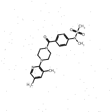 Cc1cnc(N2CCN(C(=O)c3ccc(N(C)S(C)(=O)=O)cc3)CC2)c(C)c1